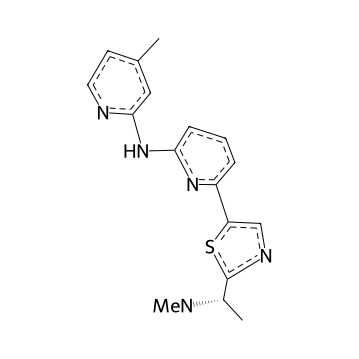 CN[C@@H](C)c1ncc(-c2cccc(Nc3cc(C)ccn3)n2)s1